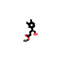 Cc1ccc([C@@H](CO)CCC(=O)OC(C)(C)C)cc1C